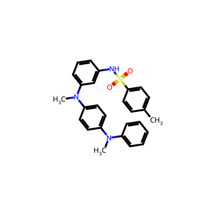 Cc1ccc(S(=O)(=O)Nc2cccc(N(C)c3ccc(N(C)c4ccccc4)cc3)c2)cc1